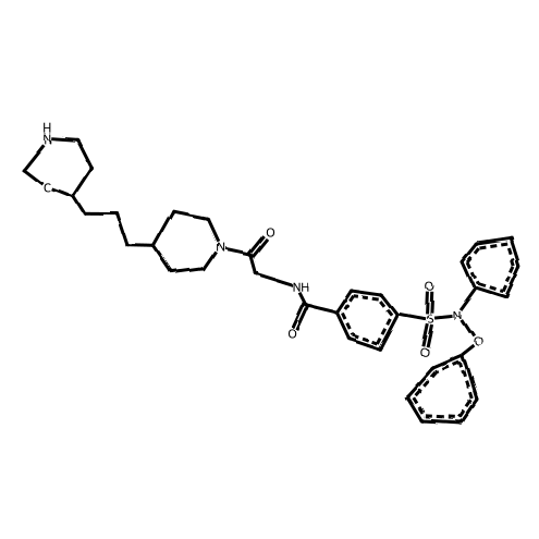 O=C(NCC(=O)N1CCC(CCCC2CCNCC2)CC1)c1ccc(S(=O)(=O)N(Oc2ccccc2)c2ccccc2)cc1